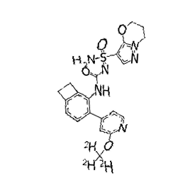 [2H]C([2H])([2H])Oc1cc(-c2ccc3c(c2NC(=O)N=[S@](N)(=O)c2cnn4c2OCCC4)CC3)ccn1